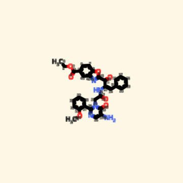 CCOC(=O)c1ccc2oc(C(=O)C(=Cc3ccccc3)NC(=O)Cn3c(-c4ccccc4OC)ncc(N)c3=O)nc2c1